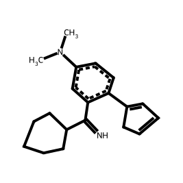 CN(C)c1ccc(C2=CC=CC2)c(C(=N)C2CCCCC2)c1